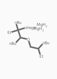 CCCCCCCC(CC)(CCCC)[C](CCCC)OCC(CC)CCCC.[MgH2].[MgH2]